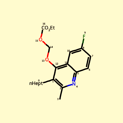 CCCCCCCc1c(C)nc2ccc(F)cc2c1OCOC(=O)OCC